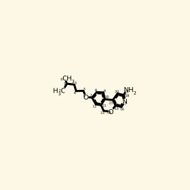 CC(C)CCCOc1ccc2c(c1)COc1cnc(N)cc1-2